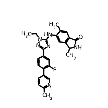 CCn1nc(-c2ccc(-c3ccc(C)nc3)c(F)c2)nc1Nc1cc2c(cc1C)C(=O)NC2C